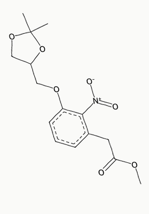 COC(=O)Cc1cccc(OCC2COC(C)(C)O2)c1[N+](=O)[O-]